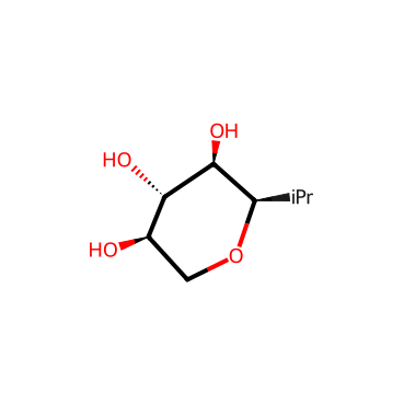 CC(C)[C@H]1OC[C@@H](O)[C@H](O)[C@H]1O